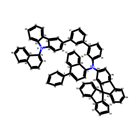 c1ccc(-c2ccc(N(c3cccc(-c4cccc(-c5ccc6c(c5)c5ccccc5n6-c5cccc6ccccc56)c4)c3)c3ccc4c(c3)C3(c5ccccc5-c5ccccc53)c3ccccc3-4)c3ccccc23)cc1